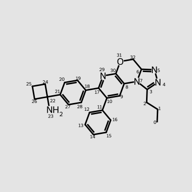 CCCc1nnc2n1-c1cc(-c3ccccc3)c(-c3ccc(C4(N)CCC4)cc3)nc1OC2